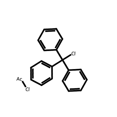 CC(=O)Cl.ClC(c1ccccc1)(c1ccccc1)c1ccccc1